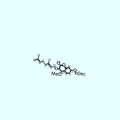 CCCCCCCCCCOc1ccc2c(OC)c(OC/C=C(\C)CCC=C(C)C)c(=O)oc2c1